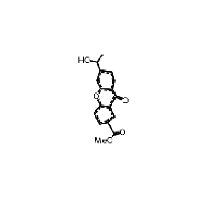 COC(=O)c1ccc2oc3cc(C(C)O)ccc3c(=O)c2c1